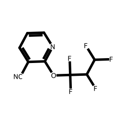 N#Cc1cccnc1OC(F)(F)C(F)C(F)F